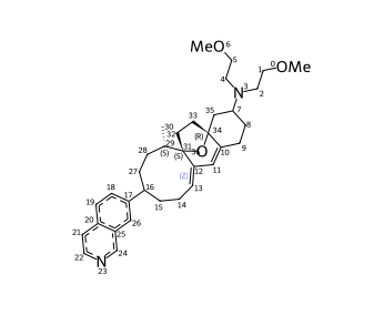 COCCN(CCOC)C1CCC2=C/C3=C/CCC(c4ccc5ccncc5c4)CC[C@H](C)[C@@]34CC[C@]2(C1)O4